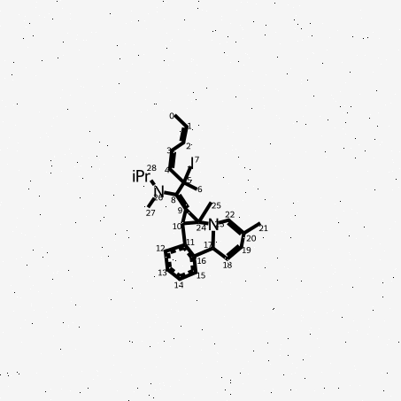 C/C=C\C=C/C(C)(I)/C(=C1/C2c3ccccc3C3C=CC(C)=CN3C12C)N(C)C(C)C